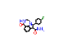 NC(=O)c1c(-c2ccc(F)cc2)n2c3c(cccc13)C(=O)NCC2